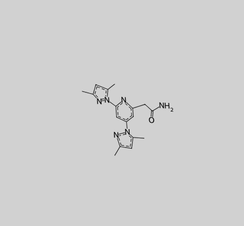 Cc1cc(C)n(-c2cc(CC(N)=O)nc(-n3nc(C)cc3C)c2)n1